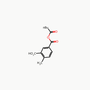 CCCCC(=O)OC(=O)c1ccc(C)c(C(=O)O)c1